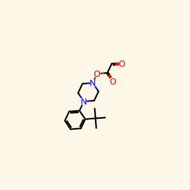 CC(C)(C)c1ccccc1N1CCN(OC(=O)C=O)CC1